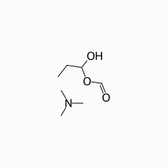 CCC(O)OC=O.CN(C)C